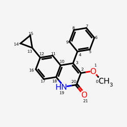 COc1c(-c2ccccc2)c2cc(C3CC3)ccc2[nH]c1=O